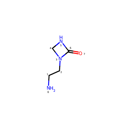 NCCN1CNC1=O